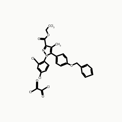 Cc1c(C(=O)OCC(Cl)(Cl)Cl)nn(-c2ccc(Cl)cc2Cl)c1-c1ccc(OCc2ccccc2)cc1.O=C(Cl)C(=O)Cl